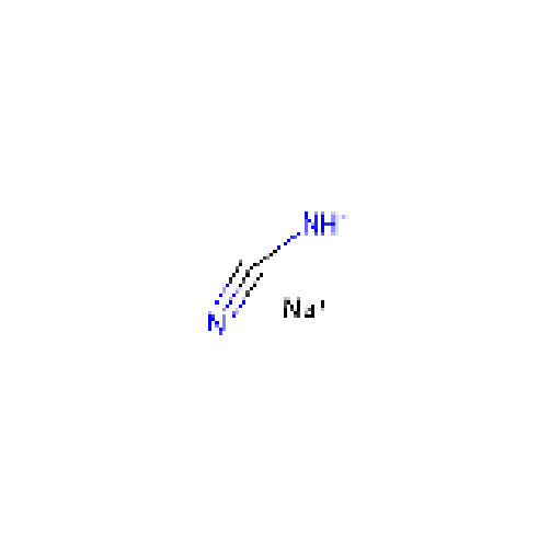 N#C[NH-].[Na+]